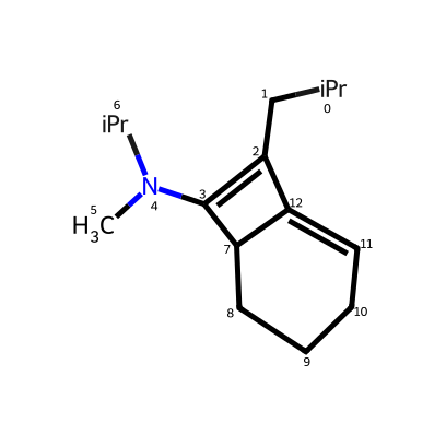 CC(C)CC1=C(N(C)C(C)C)C2CCCC=C12